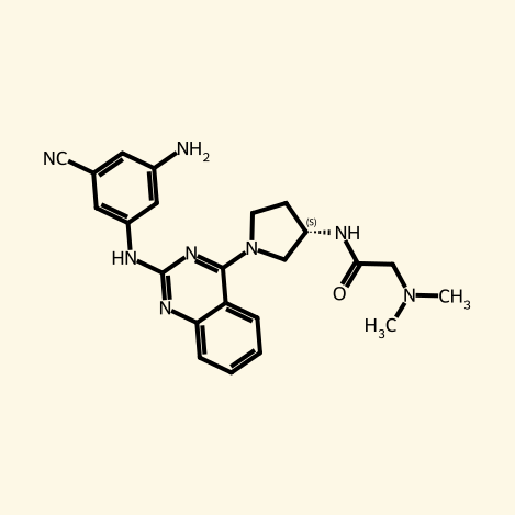 CN(C)CC(=O)N[C@H]1CCN(c2nc(Nc3cc(N)cc(C#N)c3)nc3ccccc23)C1